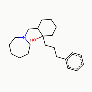 OC1(CCCc2ccccc2)CCCCC1CN1CCCCCC1